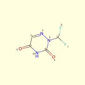 O=c1cnn(C(F)F)c(=O)[nH]1